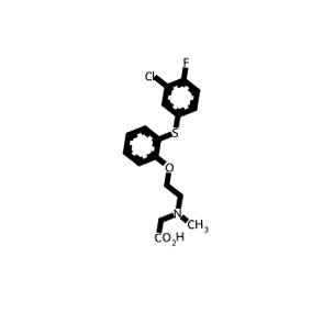 CN(CCOc1ccccc1Sc1ccc(F)c(Cl)c1)CC(=O)O